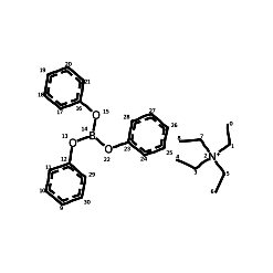 CC[N+](CC)(CC)CC.c1ccc(OB(Oc2ccccc2)Oc2ccccc2)cc1